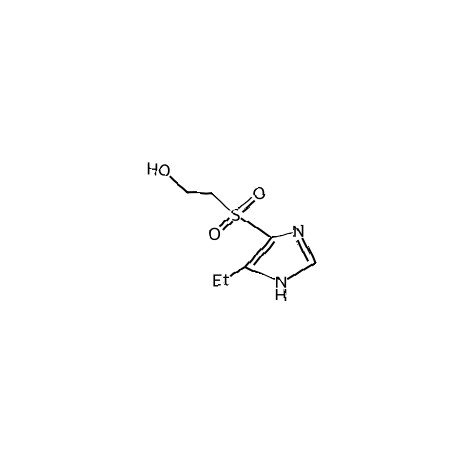 CCc1[nH]cnc1S(=O)(=O)CCO